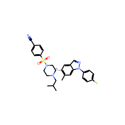 Cc1cc2c(cnn2-c2ccc(F)cc2)cc1[C@H]1CN(S(=O)(=O)c2ccc(C#N)cc2)CCN1CC(C)C